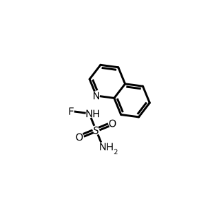 NS(=O)(=O)NF.c1ccc2ncccc2c1